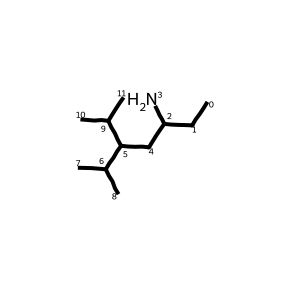 CCC(N)CC(C(C)C)C(C)C